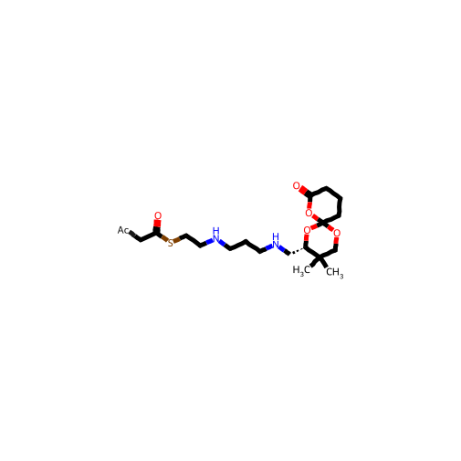 CC(=O)CC(=O)SCCNCCCNC[C@@H]1OC2(CCCC(=O)O2)OCC1(C)C